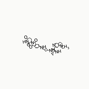 CN1CCc2cnc(/C(=C/NC3CC(CNc4ccc5c(c4)C(=O)N(C4CCC(=O)NC4=O)C5=O)C3)C(=N)C3CC3)cc21